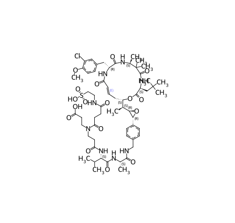 COc1ccc(C[C@H]2NC(=O)/C=C/C[C@@H]([C@H](C)[C@H]3O[C@@H]3c3ccc(CNC(=O)[C@H](C)NC(=O)[C@@H](NC(=O)CCN(CCC(=O)O)C(=O)CCC(=O)NCCS(=O)(=O)O)C(C)C)cc3)OC(=O)[C@H](CC(C)(C)C)NC(=O)C(C)(C)[C@H](C)NC2=O)cc1Cl